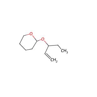 C=CC(CC)OC1CCCCO1